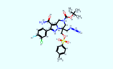 Cc1ccc(S(=O)(=O)OCC2(CN=[N+]=[N-])CN(C(=O)OC(C)(C)C)Cc3c(C(N)=O)c(-c4ccc(F)c(Cl)c4)nn32)cc1